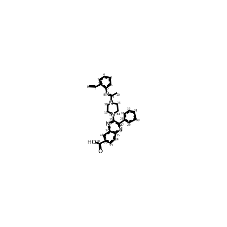 C=Cc1ccccc1/N=C(\C)N1CCN(c2nc3cc(C(=O)O)ccc3nc2-c2ccccc2)CC1